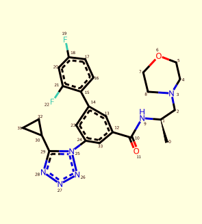 C[C@H](CN1CCOCC1)NC(=O)c1cc(-c2ccc(F)cc2F)cc(-n2nnnc2C2CC2)c1